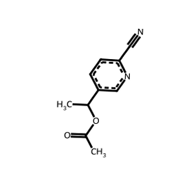 CC(=O)OC(C)c1ccc(C#N)nc1